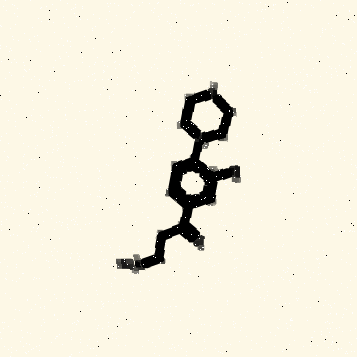 O=C(O)CCC(=O)c1ccc(N2CCOCC2)c(Cl)c1